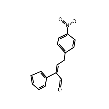 O=CC(=CCc1ccc([N+](=O)[O-])cc1)c1ccccc1